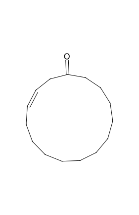 O=C1CC=CCCCCCCCCCCC1